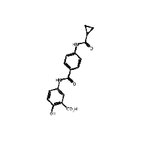 O=C(Nc1ccc(O)c(C(=O)O)c1)c1ccc(NC(=O)C2CC2)cc1